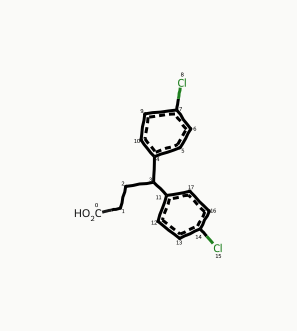 O=C(O)CCC(c1ccc(Cl)cc1)c1ccc(Cl)cc1